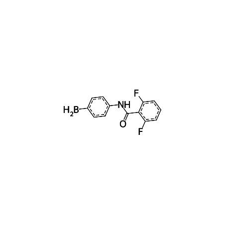 Bc1ccc(NC(=O)c2c(F)cccc2F)cc1